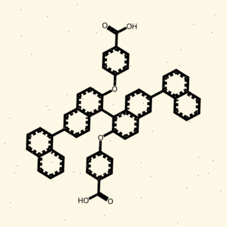 O=C(O)c1ccc(Oc2ccc3cc(-c4cccc5ccccc45)ccc3c2-c2c(Oc3ccc(C(=O)O)cc3)ccc3cc(-c4cccc5ccccc45)ccc23)cc1